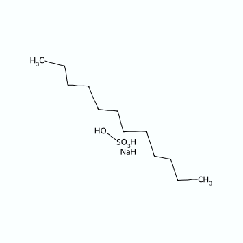 CCCCCCCCCCCC.O=S(=O)(O)O.[NaH]